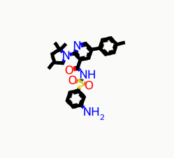 Cc1ccc(-c2cnc(N3CC(C)CC3(C)C)c(C(=O)NS(=O)(=O)c3cccc(N)c3)c2)cc1